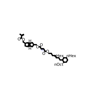 C=C(C)C(=O)OCC1CC2CC1[C@@H]1CC(COC(=O)/C=C/C(=O)OCCCCCCCC3C(CCCCCCCC)CCC(CCCCCC)C3CCCCCC)C[C@H]21